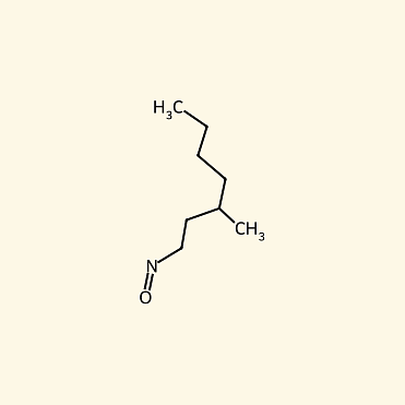 CCCCC(C)CCN=O